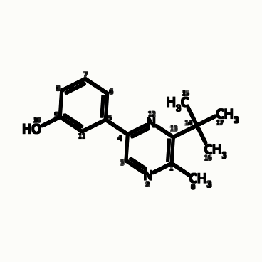 Cc1ncc(-c2cccc(O)c2)nc1C(C)(C)C